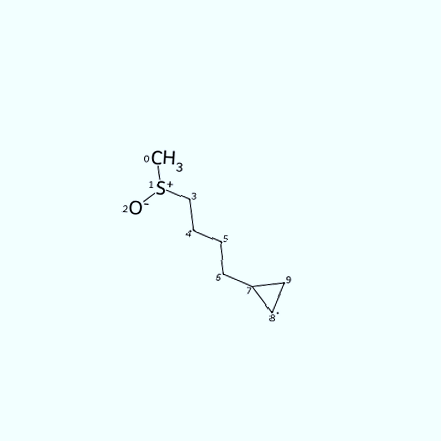 C[S+]([O-])CCCCC1[CH]C1